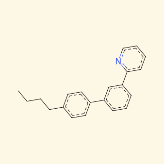 CCCCc1ccc(-c2cccc(-c3ccccn3)c2)cc1